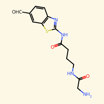 NCC(=O)NCCCC(=O)Nc1nc2ccc(C=O)cc2s1